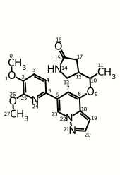 COc1ccc(-c2cc(OC(C)C3CNC(=O)C3)c3ccnn3c2)nc1OC